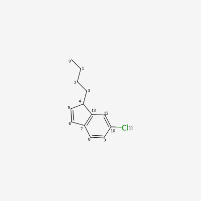 CCCCC1C=Cc2ccc(Cl)cc21